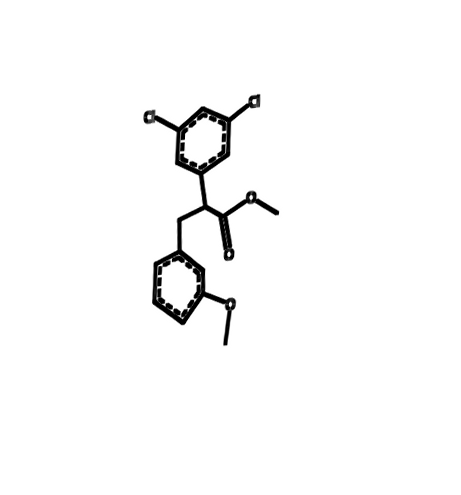 COC(=O)C(Cc1cccc(OC)c1)c1cc(Cl)cc(Cl)c1